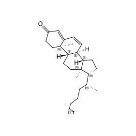 CC(C)CCC[C@@H](C)[C@H]1CC[C@H]2[C@@H]3C=CC4=CC(=O)CC[C@]4(C)[C@H]3CC[C@]12C